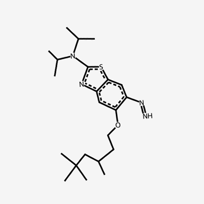 CC(CCOc1cc2nc(N(C(C)C)C(C)C)sc2cc1N=N)CC(C)(C)C